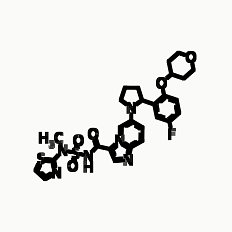 CN(c1nccs1)S(=O)(=O)NC(=O)c1cnc2ccc(N3CCCC3c3cc(F)ccc3OC3CCOCC3)cn12